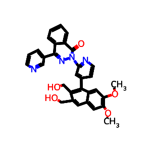 COc1cc2cc(CO)c(CO)c(-c3ccnc(-n4nc(-c5cccnc5)c5ccccc5c4=O)c3)c2cc1OC